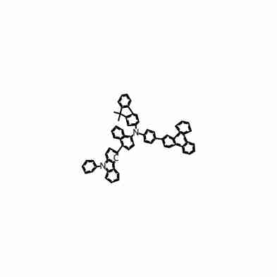 CC1(C)c2ccccc2-c2ccc(N(c3ccc(-c4ccc5c6ccccc6c6ccccc6c5c4)cc3)c3ccc(-c4ccc5c(c4)c4ccccc4n5-c4ccccc4)c4ccccc34)cc21